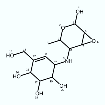 CC1OC(O)C2OC2C1NC1C=C(CO)C(O)C(O)C1O